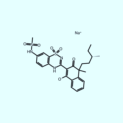 CC[C@H](C)CCC1(C)C(=O)C(C2=NS(=O)(=O)c3cc(NS(C)(=O)=O)ccc3N2)=C([O-])c2ccccc21.[Na+]